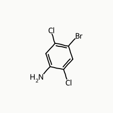 Nc1cc(Cl)c(Br)cc1Cl